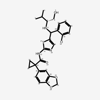 CC(C)[C@H](CO)NC(c1cnc(NC(=O)C2(c3ccc4c(c3)OCO4)CC2)s1)c1ccccc1Cl